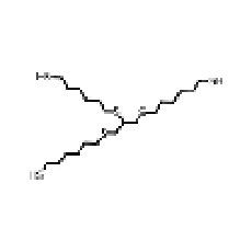 SCCCCCCSCC(CSCCCCCCS)SCCCCCCS